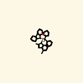 CC1=Cc2c(C)cccc2[CH]1[Zr](=[C](c1ccccc1)c1ccccc1)[CH]1c2ccccc2-c2ccccc21